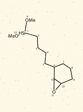 CO[SiH](CCCCC1CCCC2OC12)OC